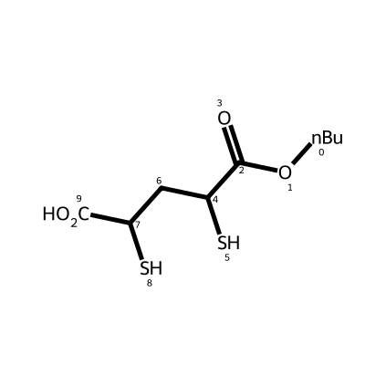 CCCCOC(=O)C(S)CC(S)C(=O)O